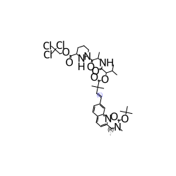 CC(NC(=O)C(OC(=O)C(C)(C)/C=C/c1ccc2ccc([C@@H](C)N(C)C(=O)OC(C)(C)C)nc2c1)C(C)C)C(=O)N1CCCC(C(=O)OCC(Cl)(Cl)Cl)N1